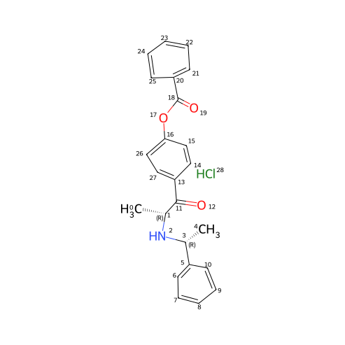 C[C@@H](N[C@H](C)c1ccccc1)C(=O)c1ccc(OC(=O)c2ccccc2)cc1.Cl